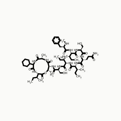 CC[C@@H](C)[C@@H](NC(=O)[C@@H](CCC(N)=O)NC(=O)[C@H](CO)NC(=O)[C@@H](NC(=O)[C@@H](Cc1ccccc1)NC)[C@@H](C)CC)C(=O)N[C@H](C(=O)N[C@@H](CO)C(=O)N[C@H]1C(=O)N[C@@H](C)C(=O)NC(C2CCCCC2)C(=O)N[C@@H]([C@@H](C)CC)C(=O)O[C@H]1C)[C@@H](C)CC